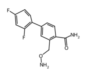 NOCc1cc(-c2ccc(F)cc2F)ccc1C(N)=O